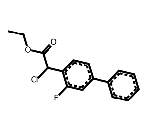 CCOC(=O)C(Cl)c1ccc(-c2ccccc2)cc1F